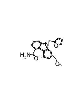 COCc1c[c]c2c3c(C(N)=O)cccc3n(Cc3ccco3)c2c1